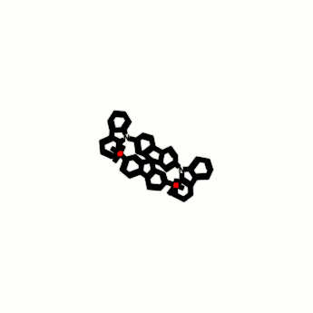 CC(C)(C)c1ccc2c(c1)C1(c3cc(C(C)(C)C)ccc3-2)c2cc(-n3c4ccccc4c4ccccc43)ccc2C2C=CC(n3c4c(c5ccccc53)CCC=C4)=CC21